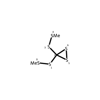 CSSC1(SSC)SS1